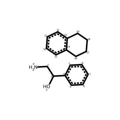 NCC(O)c1ccccc1.c1ccc2c(c1)CCCC2